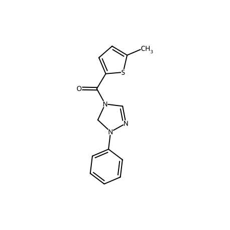 Cc1ccc(C(=O)N2C=NN(c3ccccc3)C2)s1